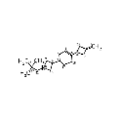 C=C1CC(C2=CC=C(C3CN(CC(C)(C)C)C3)CC2)C1